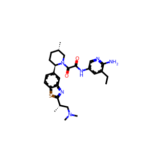 CCc1cc(NC(=O)C(=O)N2C[C@@H](C)CC[C@@H]2c2ccc3sc([C@@H](C)CN(C)C)nc3c2)cnc1N